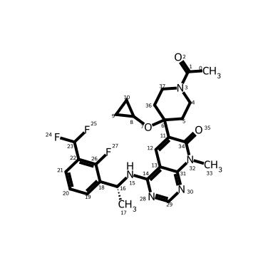 CC(=O)N1CCC(OC2CC2)(c2cc3c(N[C@H](C)c4cccc(C(F)F)c4F)ncnc3n(C)c2=O)CC1